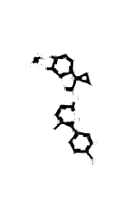 Cc1ccc(NC(=O)C2(c3ccc4c(c3)OC(F)(F)O4)CC2)nc1-c1ccc(C(C)C)cc1